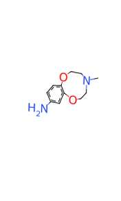 CN1CCOc2ccc(N)cc2OCC1